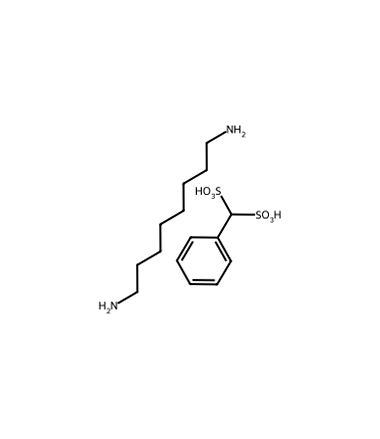 NCCCCCCCCN.O=S(=O)(O)C(c1ccccc1)S(=O)(=O)O